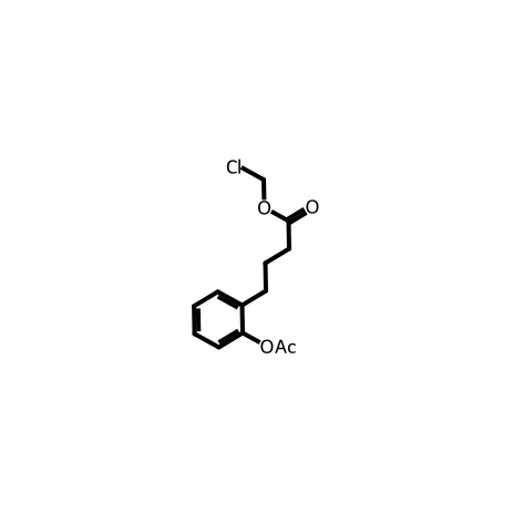 CC(=O)Oc1ccccc1CCCC(=O)OCCl